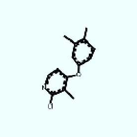 Cc1ccc(Oc2ccnc(Cl)c2C)cc1C